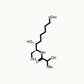 CCCCCCCCCCCCCCC[C@@H](O)[C@H](CO)NC(=O)C(O)CCCC